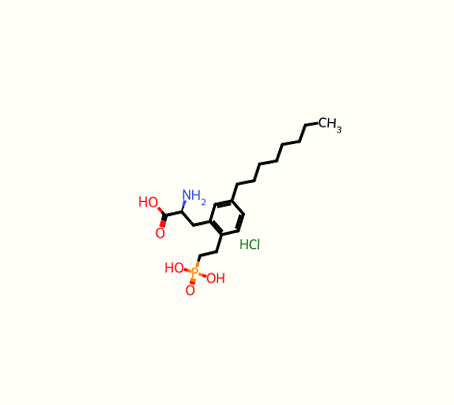 CCCCCCCCc1ccc(CCP(=O)(O)O)c(C[C@H](N)C(=O)O)c1.Cl